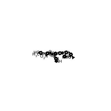 COc1cc(CN2CCN(C3CC4(CCN(c5ccc(C(=O)NS(=O)(=O)c6ccc(NC[C@H]7CC[C@](C)(O)CC7)c([N+](=O)[O-])c6)c(Oc6cnc7[nH]ccc7c6)c5)CC4)C3)C(c3ccccc3C(C)C)C2)ccc1C1CC1